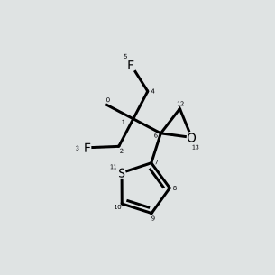 CC(CF)(CF)C1(c2cccs2)CO1